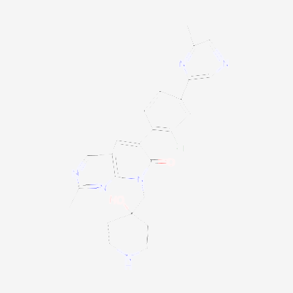 Cc1cncc(-c2ccc(-c3cc4cnc(C)nc4n(CC4(O)CCNCC4)c3=O)c(Cl)c2)n1